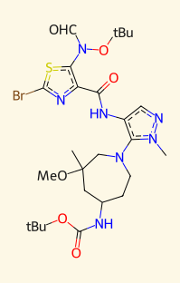 COC1(C)CC(NC(=O)OC(C)(C)C)CCN(c2c(NC(=O)c3nc(Br)sc3N(C=O)OC(C)(C)C)cnn2C)C1